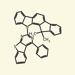 CC1(C)c2ccccc2-c2ccc3c4ccccc4n(-c4nc(-c5ccccc5)c5c(n4)sc4ccccc45)c3c21